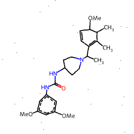 COc1cc(NC(=O)NC2CCN(C(C)C3=C(C)C(C)C(OC)C=C3)CC2)cc(OC)c1